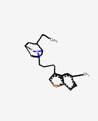 CCC1CC2C=CC1N(CCc1csc3ccc(C)cc13)C2